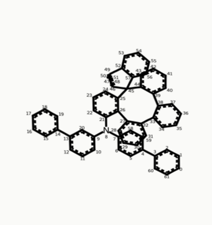 c1ccc(-c2ccc(N(c3cccc(-c4ccccc4)c3)c3cccc4c3-c3ccccc3-c3ccccc3-c3ccccc3C43c4ccccc4-c4ccccc43)cc2)cc1